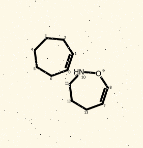 C1=CCCCCC1.C1=CONCCC1